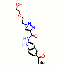 CC(C)(C)C(=O)c1ccc2[nH]c(NC(=O)c3cn(CCOCCO)nn3)cc2c1